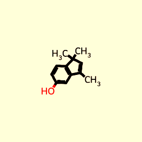 CC1=CC(C)(C)c2ccc(O)cc21